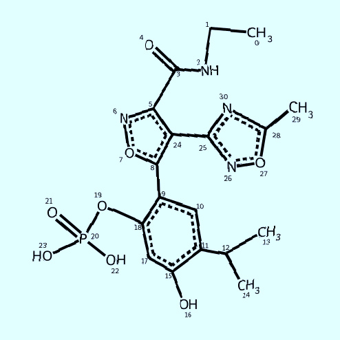 CCNC(=O)c1noc(-c2cc(C(C)C)c(O)cc2OP(=O)(O)O)c1-c1noc(C)n1